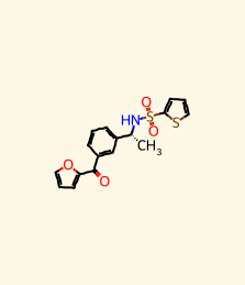 C[C@@H](NS(=O)(=O)c1cccs1)c1cccc(C(=O)c2ccco2)c1